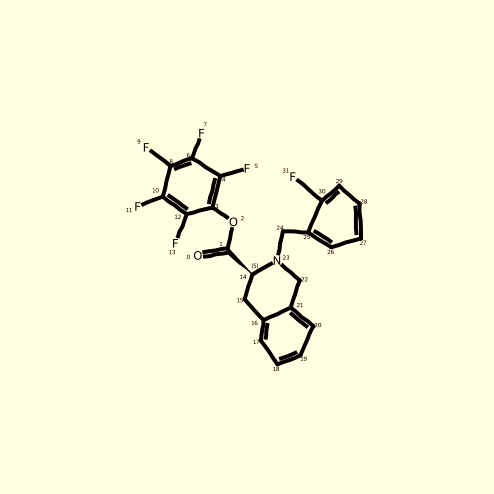 O=C(Oc1c(F)c(F)c(F)c(F)c1F)[C@@H]1Cc2ccccc2CN1Cc1ccccc1F